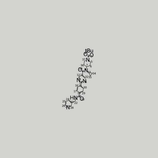 CC(C)(C)OC(=O)N1CCC(N(C(=O)c2cnc(-c3ccc(C(=O)NCc4cccnc4)cc3)nc2)C2CC2)CC1